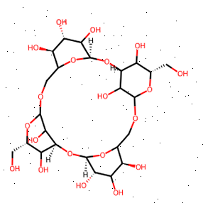 OC[C@@H]1OC2OCC3O[C@H](O[C@@H]4C(O)C(OCC5O[C@H](O[C@H](C2O)C1O)C(O)[C@@H](O)[C@@H]5O)O[C@@H](CO)C4O)[C@@H](O)C(O)[C@@H]3O